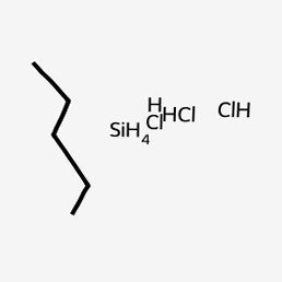 CCCCC.Cl.Cl.Cl.[SiH4]